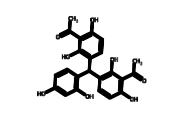 CC(=O)c1c(O)ccc(C(c2ccc(O)cc2O)c2ccc(O)c(C(C)=O)c2O)c1O